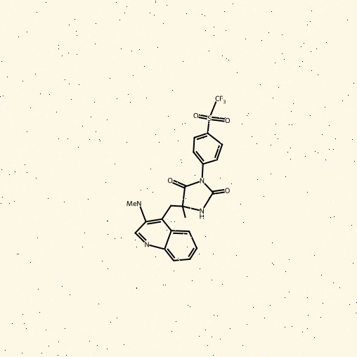 CNc1cnc2ccccc2c1CC1(C)NC(=O)N(c2ccc(S(=O)(=O)C(F)(F)F)cc2)C1=O